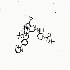 CC(C)(C)OC(=O)N1CCC[C@H](Nc2cc(N(Cc3ccc(-c4ncccn4)cc3)C(=O)OC(C)(C)C)n3ncc(C4CC4)c3n2)C1